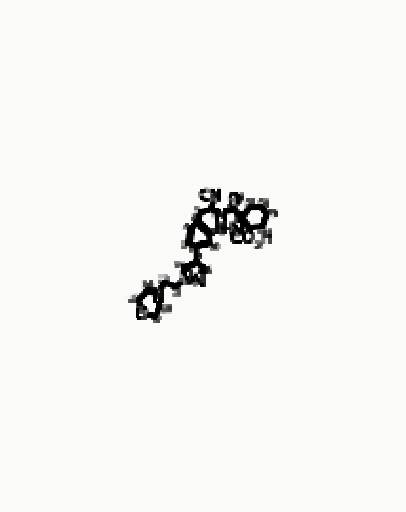 N#CC(Cc1ccc(-c2cnn(CCN3CCOCC3)c2)cc1)NC(=O)C1(NC(=O)O)CCCCC1